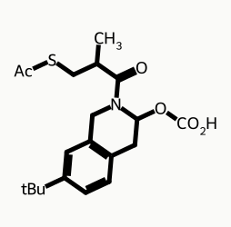 CC(=O)SCC(C)C(=O)N1Cc2cc(C(C)(C)C)ccc2CC1OC(=O)O